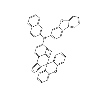 c1ccc2c(c1)Oc1ccccc1C21c2ccccc2-c2ccc(N(c3ccc4ccccc4c3)c3ccc4c(c3)oc3ccccc34)c3cccc1c23